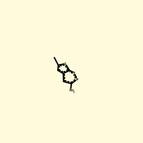 Cc1cc2cc(N)nnc2s1